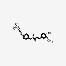 COc1cc(/C=C/C(=O)NCc2ccc(CCCO[N+](=O)[O-])cc2)ccc1O